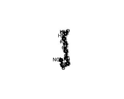 N#Cc1cccc(-c2ccc(=O)n(Cc3cccc(-c4ncc(OCC5CCN(C(=O)CN6CCN(c7ccc(NC8CCC(=O)NC8=O)cc7F)CC6)CC5)cn4)c3)n2)c1